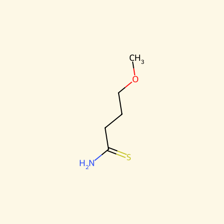 COCCCC(N)=S